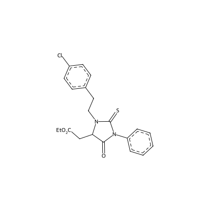 CCOC(=O)CC1C(=O)N(c2ccccc2)C(=S)N1CCc1ccc(Cl)cc1